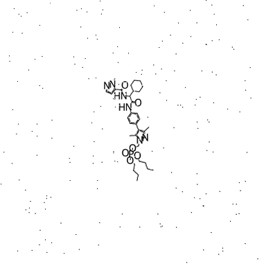 CCCCOP(=O)(OCCCC)OCn1nc(C)c(-c2ccc(NC(=O)C(NC(=O)c3ccnn3C)C3CCCCC3)cc2)c1C